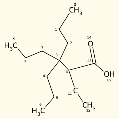 CCCC(CCC)(CCC)C(CC)C(=O)O